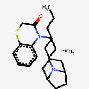 CCCCCC1CC2CCC(C1)N2C[C@@H](C)CN1C(=O)CSc2ccccc21